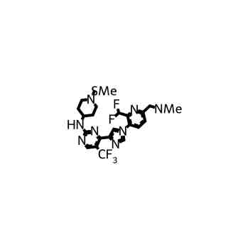 CNCc1ccc(-n2cnc(-c3nc(NC4CCN(SC)CC4)ncc3C(F)(F)F)c2)c(C(F)F)n1